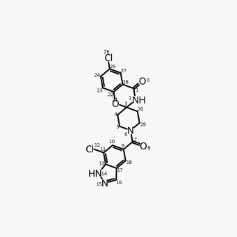 O=C1NC2(CCN(C(=O)c3cc(Cl)c4[nH]ncc4c3)CC2)Oc2ccc(Cl)cc21